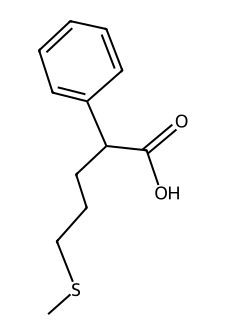 CSCCCC(C(=O)O)c1ccccc1